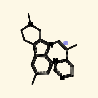 C/C(=C/n1c2c(c3cc(C)ccc31)CCN(C)C2)c1ccncn1